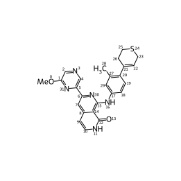 COc1cncc(-c2cc3cc[nH]c(=O)c3c(Nc3ccc(C4=CCSCC4)c(C)c3)n2)n1